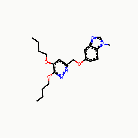 CCCCOc1cc(COc2ccc3c(c2)ncn3C)nnc1OCCCC